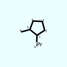 CC(C)[C]1CCCC1C